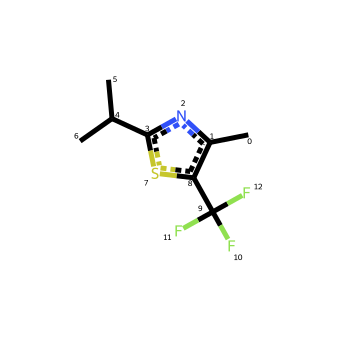 Cc1nc(C(C)C)sc1C(F)(F)F